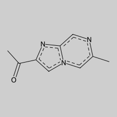 CC(=O)c1cn2cc(C)ncc2n1